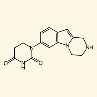 O=C1CCN(c2ccc3cc4n(c3c2)CCNC4)C(=O)N1